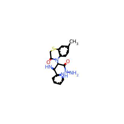 Cc1ccc2c(c1)SCC(=O)N2C(C(=N)c1ccccn1)C(=O)NN